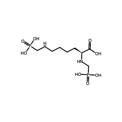 O=C(O)[C@H](CCCCNCP(=O)(O)O)NCP(=O)(O)O